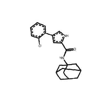 O=C(NC12CC3CC(CC(C3)C1)C2)c1cc(-c2ccccc2Cl)c[nH]1